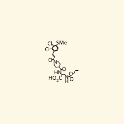 C=CCOC(=O)NCC(NC(=O)C1CCN(C(=O)C=Cc2ccc(SC)c(Cl)c2Cl)CC1)C(=O)O